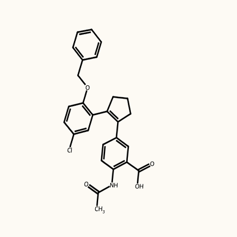 CC(=O)Nc1ccc(C2=C(c3cc(Cl)ccc3OCc3ccccc3)CCC2)cc1C(=O)O